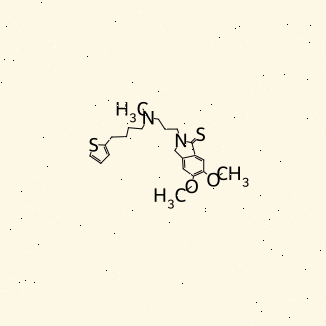 COc1cc2c(cc1OC)C(=S)N(CCCN(C)CCCCc1cccs1)C2